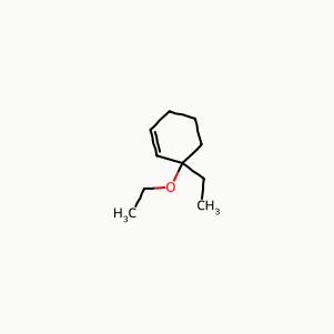 CCOC1(CC)C=CCCC1